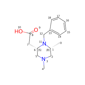 C[C@@H]1CN(C)C[C@H](CC(=O)O)N1Cc1ccccc1